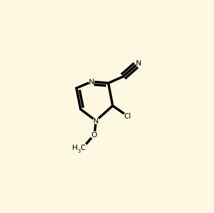 CON1C=CN=C(C#N)C1Cl